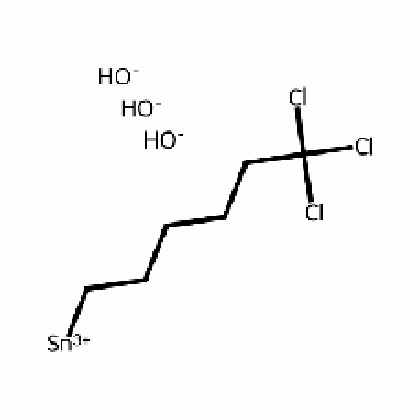 ClC(Cl)(Cl)CCCC[CH2][Sn+3].[OH-].[OH-].[OH-]